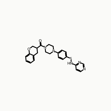 O=C(C1COc2ccccc2C1)N1CCN(c2ccc(SNc3ccncn3)cc2)CC1